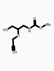 C#CCOC(CO)CNC(=O)OC(C)(C)C